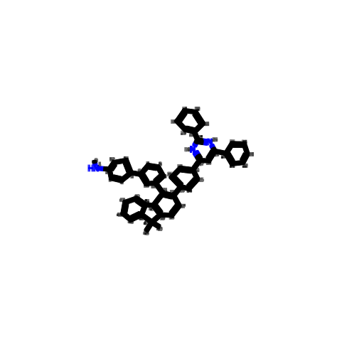 CNc1ccc(-c2cccc(-c3c(-c4ccc(-c5cc(-c6ccccc6)nc(-c6ccccc6)n5)cc4)ccc4c3-c3ccccc3C4(C)C)c2)cc1